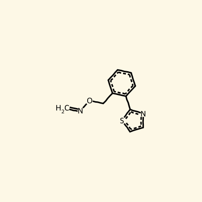 C=NOCc1ccccc1-c1nccs1